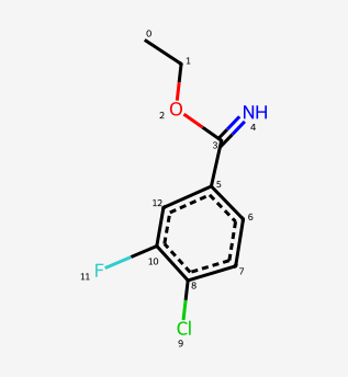 CCOC(=N)c1ccc(Cl)c(F)c1